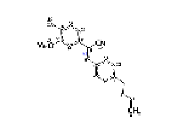 C=CCCc1ccc(/C=C(\C#N)c2ccc(CC)c(OC)c2)cc1